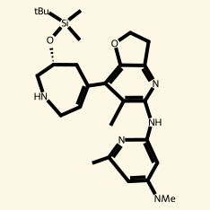 CNc1cc(C)nc(Nc2nc3c(c(C4=CCNC[C@H](O[Si](C)(C)C(C)(C)C)C4)c2C)OCC3)c1